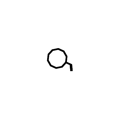 C=C[C]1CCCCCCCCC1